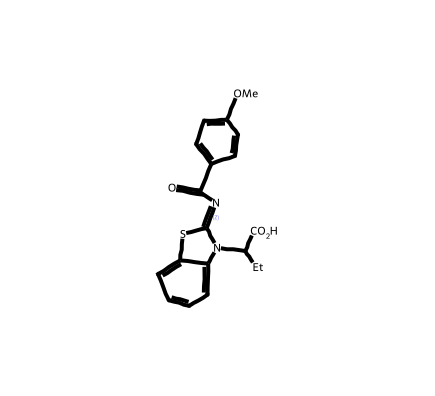 CCC(C(=O)O)n1/c(=N/C(=O)c2ccc(OC)cc2)sc2ccccc21